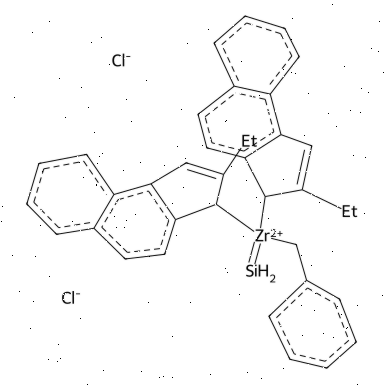 CCC1=Cc2c(ccc3ccccc23)[CH]1[Zr+2](=[SiH2])([CH2]c1ccccc1)[CH]1C(CC)=Cc2c1ccc1ccccc21.[Cl-].[Cl-]